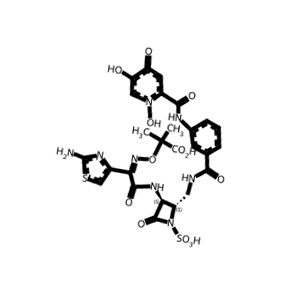 CC(C)(ON=C(C(=O)N[C@@H]1C(=O)N(S(=O)(=O)O)[C@H]1CNC(=O)c1cccc(NC(=O)c2cc(=O)c(O)cn2O)c1)c1csc(N)n1)C(=O)O